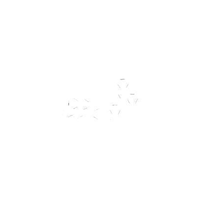 C1=CC2Oc3ccc(-c4cc5ccccc5c5ccccc45)cc3C2C=C1c1ccc2ccc3cccc4ccc1c2c34